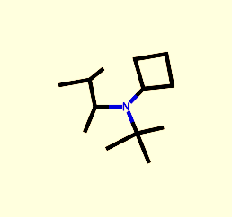 CC(C)C(C)N(C1CCC1)C(C)(C)C